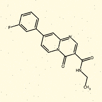 CCNC(=O)c1cnc2cc(-c3cccc(F)c3)ccn2c1=O